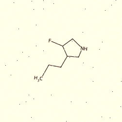 CCCC1CNCC1F